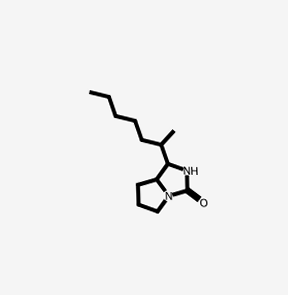 CCCCCC(C)C1NC(=O)N2CCCC12